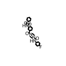 O=C(Nc1ccc(F)cc1)N1CCN(C(=O)c2cccc(NS(=O)(=O)c3ccccc3)c2)CC1